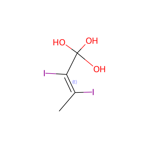 C/C(I)=C(\I)C(O)(O)O